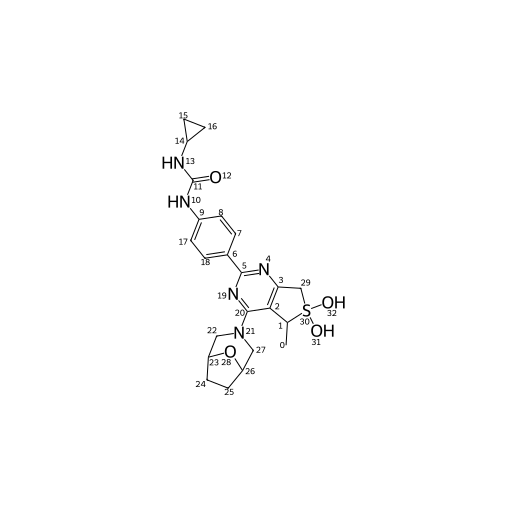 CC1c2c(nc(-c3ccc(NC(=O)NC4CC4)cc3)nc2N2CC3CCC(C2)O3)CS1(O)O